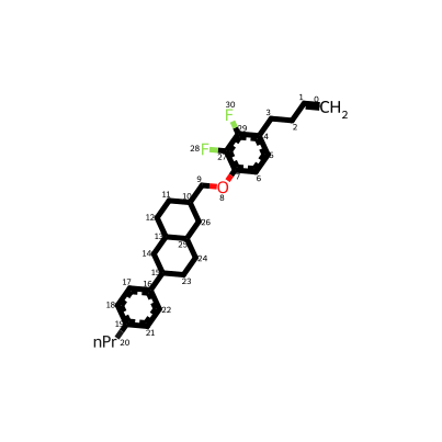 C=CCCc1ccc(OCC2CCC3CC(c4ccc(CCC)cc4)CCC3C2)c(F)c1F